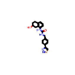 O=C(NCc1ccc(-c2csnn2)cc1)Nc1cccc2c1CC(O)CC2